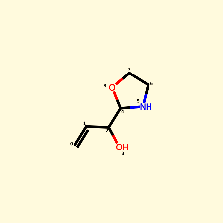 C=CC(O)C1NCCO1